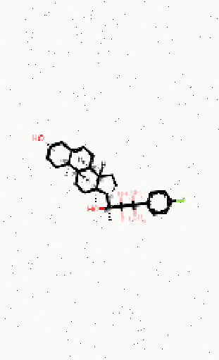 BC(B)(c1ccc(F)cc1)C(B)(B)[C@@](C)(O)[C@H]1CC[C@H]2[C@@H]3CC=C4C[C@@H](O)CC[C@]4(C)[C@H]3CC[C@@]21C